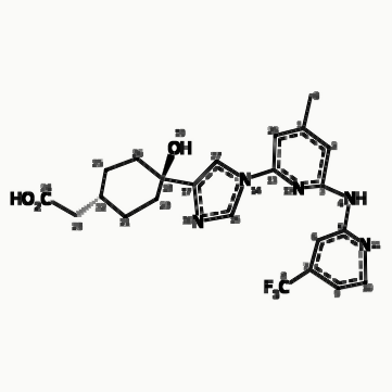 Cc1cc(Nc2cc(C(F)(F)F)ccn2)nc(-n2cnc([C@]3(O)CC[C@H](CC(=O)O)CC3)c2)c1